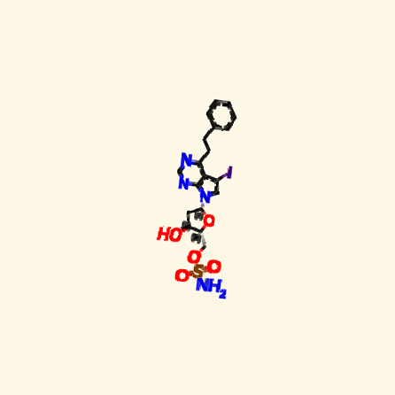 NS(=O)(=O)OC[C@H]1O[C@@H](n2cc(I)c3c(CCc4ccccc4)ncnc32)C[C@@H]1O